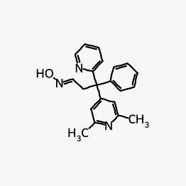 Cc1cc(C(C/C=N/O)(c2ccccc2)c2ccccn2)cc(C)n1